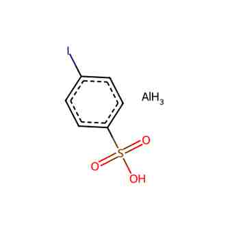 O=S(=O)(O)c1ccc(I)cc1.[AlH3]